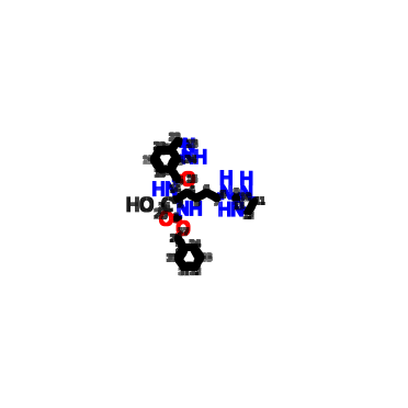 O=C(NC(CCCCNC1NCCN1)(NC(=O)c1cccc2cn[nH]c12)C(=O)O)OCc1ccccc1